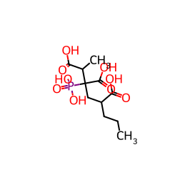 CCCC(CC(C(=O)O)(C(C)C(=O)O)P(=O)(O)O)C(=O)O